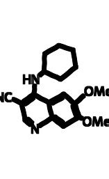 COc1cc2ncc(C#N)c(NC3CCCCC3)c2cc1OC